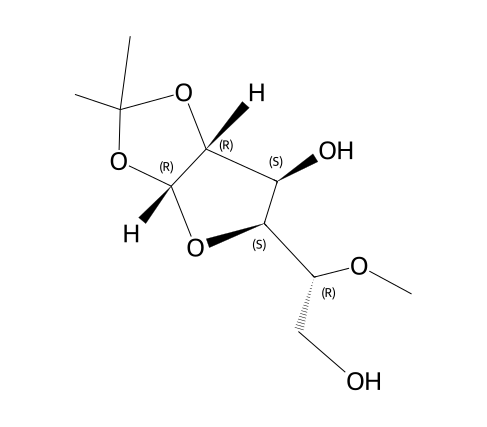 CO[C@H](CO)[C@H]1O[C@@H]2OC(C)(C)O[C@@H]2[C@H]1O